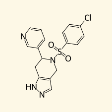 O=S(=O)(c1ccc(Cl)cc1)N1Cc2cn[nH]c2CC1c1cccnc1